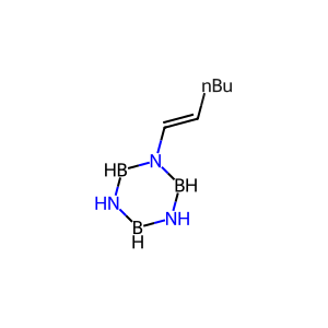 CCCCC=CN1BNBNB1